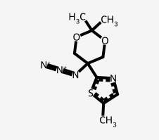 Cc1cnc(C2(N=[N+]=[N-])COC(C)(C)OC2)s1